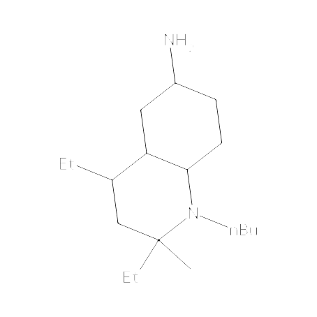 CCCCN1C2CCC(N)CC2C(CC)CC1(C)CC